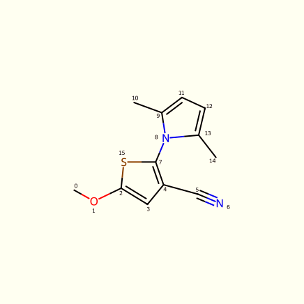 COc1cc(C#N)c(-n2c(C)ccc2C)s1